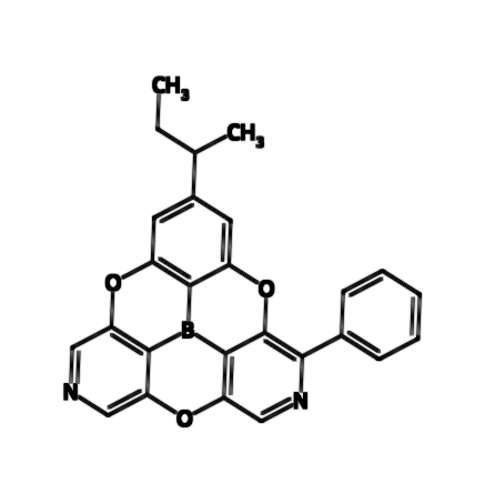 CCC(C)c1cc2c3c(c1)Oc1c(-c4ccccc4)ncc4c1B3c1c(cncc1O4)O2